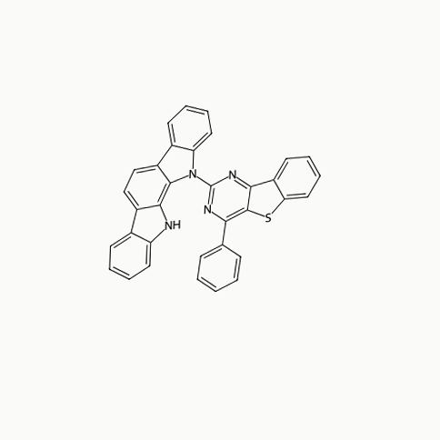 c1ccc(-c2nc(-n3c4ccccc4c4ccc5c6ccccc6[nH]c5c43)nc3c2sc2ccccc23)cc1